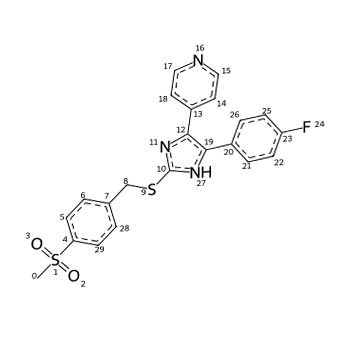 CS(=O)(=O)c1ccc(CSc2nc(-c3ccncc3)c(-c3ccc(F)cc3)[nH]2)cc1